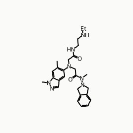 CCNCCNC(=O)CN(CC(=O)N(C)N1Cc2ccccc2C1)c1cc2cnn(C)c2cc1C